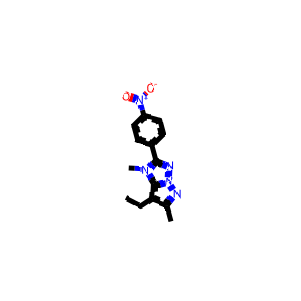 CCc1c(C)nn2nc(-c3ccc([N+](=O)[O-])cc3)n(C)c12